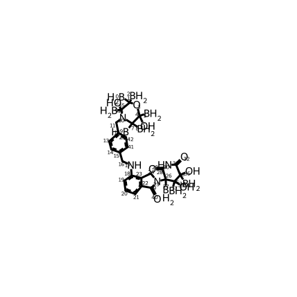 BC1(B)OC(B)(O)C(B)(B)N(Cc2ccc(CNc3cccc4c3CN(C3(B)C(=O)NC(=O)C(B)(O)C3(B)O)C4=O)cc2)C1(B)O